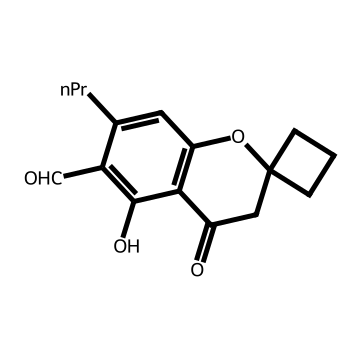 CCCc1cc2c(c(O)c1C=O)C(=O)CC1(CCC1)O2